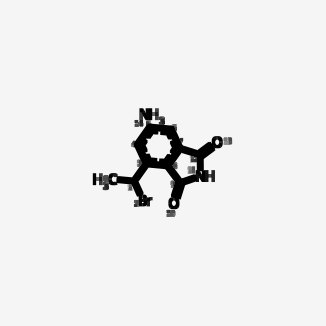 CC(Br)c1cccc2c1C(=O)NC2=O.N